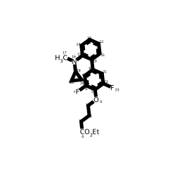 CCOC(=O)CCCOc1c(F)cc(-c2ccccc2N(C)C2CC2)cc1F